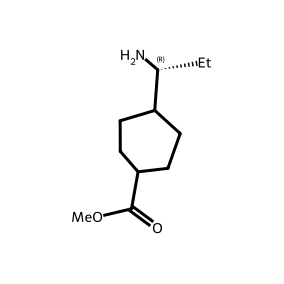 CC[C@@H](N)C1CCC(C(=O)OC)CC1